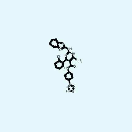 CC1=C(C(=O)Nc2ccc(-[n+]3nn[nH]n3)cc2)C(c2ccccc2Cl)N=C(Nc2nc3ccccc3o2)N1